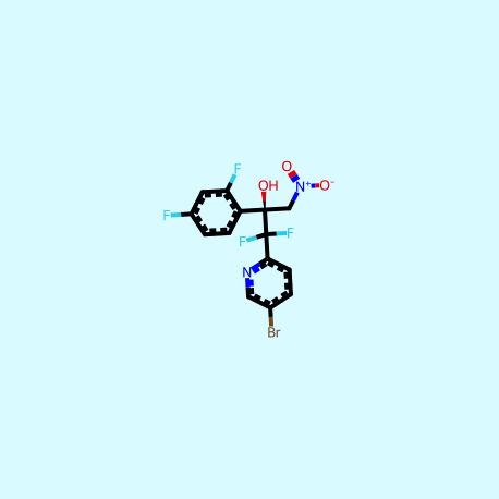 O=[N+]([O-])C[C@@](O)(c1ccc(F)cc1F)C(F)(F)c1ccc(Br)cn1